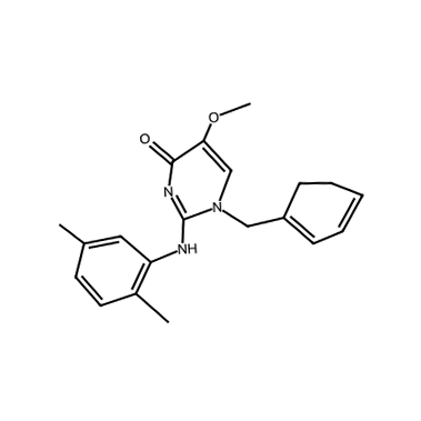 COc1cn(CC2=CC=CCC2)c(Nc2cc(C)ccc2C)nc1=O